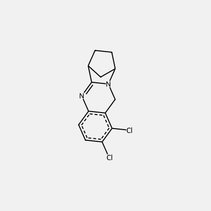 Clc1ccc2c(c1Cl)CN1C(=N2)C2CCC1C2